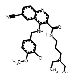 CCN(CC)CCCNC(=O)c1cnc2ccc(C#N)cc2c1NCc1ccc(OC)c(Cl)c1